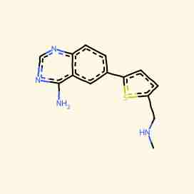 CNCc1ccc(-c2ccc3ncnc(N)c3c2)s1